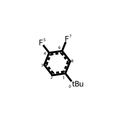 [CH2]C(C)(C)c1ccc(F)c(F)c1